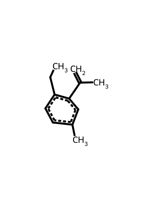 C=C(C)c1cc(C)ccc1CC